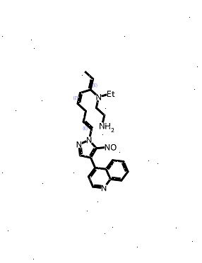 C/C=C(\C=C/C/C=C/n1ncc(-c2ccnc3ccccc23)c1N=O)N(CC)CCN